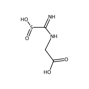 N=C(NCC(=O)O)S(=O)O